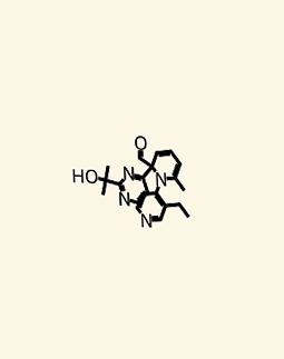 CCc1cnccc1N1C(C)=CC=CC1(C=O)c1ccnc(C(C)(C)O)n1